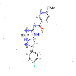 COc1ccc(C(=O)/N=C(\NC2CC(c3ccc(F)cc3)NN2)NC(C)(C)C)cn1